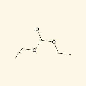 CCOC([O])OCC